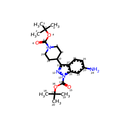 CC(C)(C)OC(=O)N1CCC(c2nn(C(=O)OC(C)(C)C)c3cc(N)ccc23)CC1